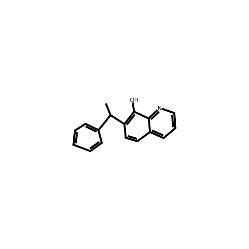 CC(c1ccccc1)c1ccc2cccnc2c1O